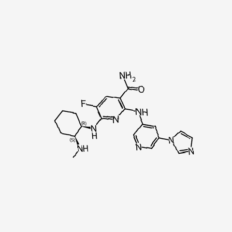 CN[C@H]1CCCC[C@H]1Nc1nc(Nc2cncc(-n3ccnc3)c2)c(C(N)=O)cc1F